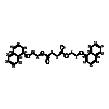 O=C(CCC(=O)OCCOc1cccc2ccccc12)OCCOc1cccc2ccccc12